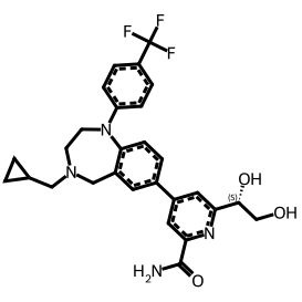 NC(=O)c1cc(-c2ccc3c(c2)CN(CC2CC2)CCN3c2ccc(C(F)(F)F)cc2)cc([C@H](O)CO)n1